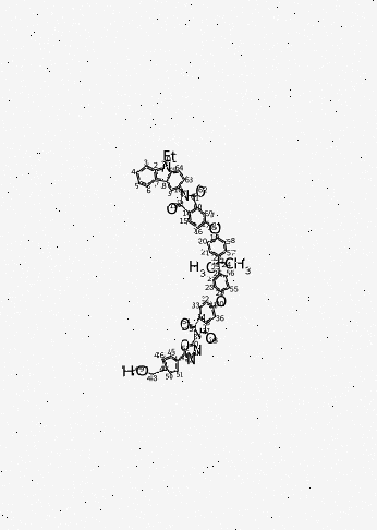 CCn1c2ccccc2c2cc(N3C(=O)c4ccc(Oc5ccc(C(C)(C)c6ccc(Oc7ccc8c(c7)C(=O)N(c7nnc(-c9ccc(CO)cc9)o7)C8=O)cc6)cc5)cc4C3=O)ccc21